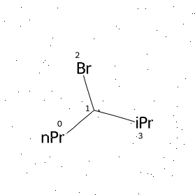 CCC[C](Br)C(C)C